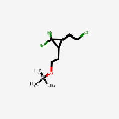 CC(C)(C)[Si](C)(C)OCCC1C(CCCl)C1(Br)Br